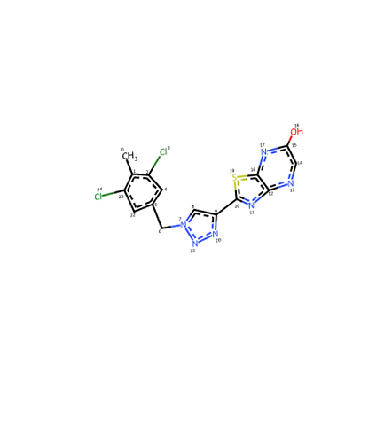 Cc1c(Cl)cc(Cn2cc(-c3nc4ncc(O)nc4s3)nn2)cc1Cl